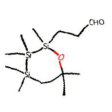 CC1(C)C[Si](C)(C)[Si](C)(C)[Si](C)(CCC=O)O1